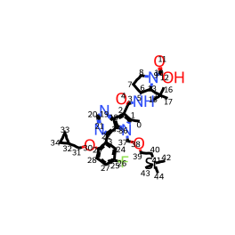 Cc1c(C(=O)N[C@@H]2CCN(C(=O)O)C2C(C)(C)C)c2ncnc(-c3cc(F)ccc3OCC3CC3)c2n1COCC[Si](C)(C)C